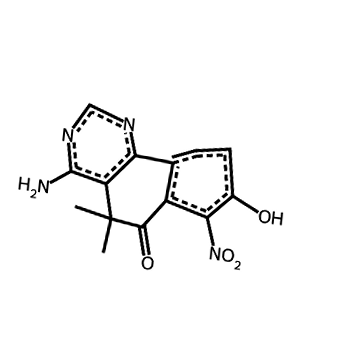 CC1(C)C(=O)c2c(ccc(O)c2[N+](=O)[O-])-c2ncnc(N)c21